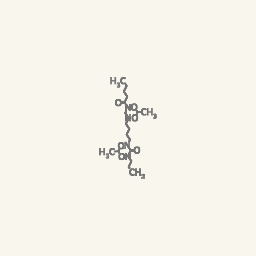 CCCCC(=O)N(CCCCCCN(OC(C)O)C(=O)CCCC)OC(C)O